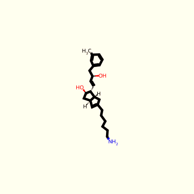 Cc1cccc(C[C@@H](O)/C=C/[C@@H]2[C@H]3CC(CCCCCCN)=C[C@H]3C[C@H]2O)c1